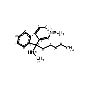 C=N/C=C(\C=C/C)C(CCCCC)(NC)c1ccccc1